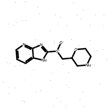 [O-][S+](CC1CNCCO1)c1nc2ncccc2[nH]1